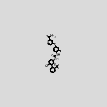 NC(=O)c1cc(Oc2ccc(NC(=O)Nc3ccc(Cl)c(-c4ccccc4C(F)(F)F)c3)c(F)c2)ccn1